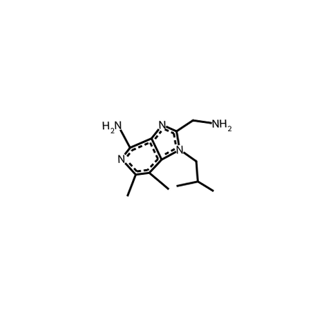 Cc1nc(N)c2nc(CN)n(CC(C)C)c2c1C